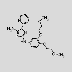 COCCOc1ccc(Nc2nc(N)n(-c3ccccn3)n2)cc1OCCOC